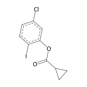 O=C(Oc1cc(Cl)ccc1I)C1CC1